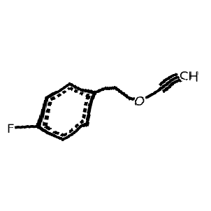 C#COCc1ccc(F)cc1